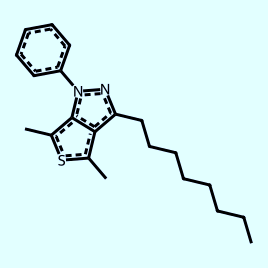 CCCCCCCCc1nn(-c2ccccc2)c2c(C)sc(C)c12